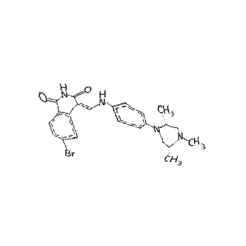 C[C@@H]1CN(c2ccc(N/C=C3\C(=O)NC(=O)c4ccc(Br)cc43)cc2)[C@H](C)CN1C